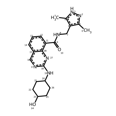 Cc1n[nH]c(C)c1CNC(=O)c1cccc2cnc(NC3CCC(O)CC3)nc12